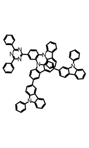 c1ccc(-c2nc(-c3ccccc3)nc(-c3ccc(-n4c5ccccc5c5ccccc54)c(-n4c5ccc(-c6ccc7c(c6)c6ccccc6n7-c6ccccc6)cc5c5cc(-c6ccc7c8ccccc8n(-c8ccccc8)c7c6)ccc54)c3)n2)cc1